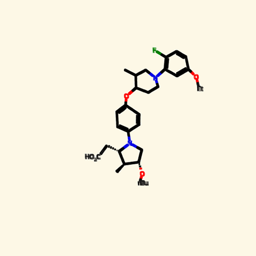 CCCCO[C@H]1CN(c2ccc(OC3CCN(c4cc(OCC)ccc4F)CC3C)cc2)[C@@H](CC(=O)O)[C@@H]1C